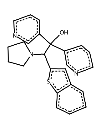 OC(c1cccnc1)(c1cccnc1)C(c1cc2ccccc2s1)N1CCCC1